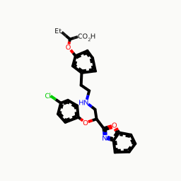 CCC(Oc1cccc(CCNCC(Oc2ccc(Cl)cc2)c2nc3ccccc3o2)c1)C(=O)O